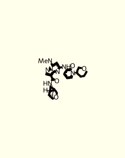 CNc1cc(Nc2cccn([C@@H]3CCCOC3)c2=O)nc2c(C(=O)N[C@H]3[C@@H]4CCOC[C@@H]43)cnn12